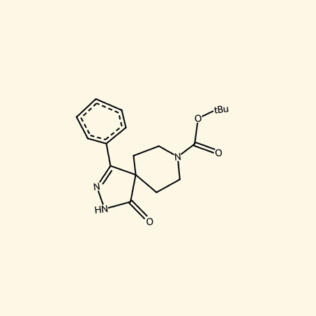 CC(C)(C)OC(=O)N1CCC2(CC1)C(=O)NN=C2c1ccccc1